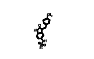 CCS(=O)(=O)Nc1ccc2c(c1)C(=Cc1ccc(C)cc1)C(=O)N2